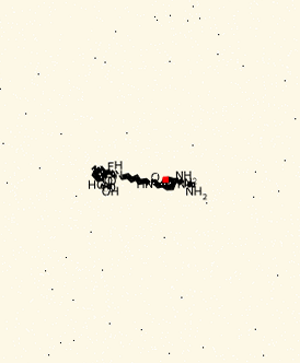 C/C(N)=N/N=C(\N)c1ccc(CC(=O)NCCCCCCNC(=O)C(F)c2cc(C)ccc2OP(=O)(O)O)cc1